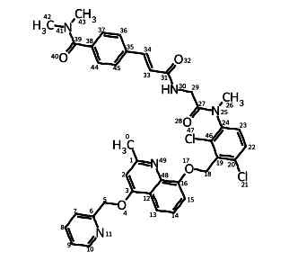 Cc1cc(OCc2ccccn2)c2cccc(OCc3c(Cl)ccc(N(C)C(=O)CNC(=O)C=Cc4ccc(C(=O)N(C)C)cc4)c3Cl)c2n1